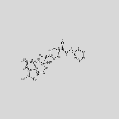 O=C(OCc1ccccc1)N1CCN([C@@H]2CN3c4cc(Cl)nc(C(F)F)c4OCC[C@@H]23)CC1